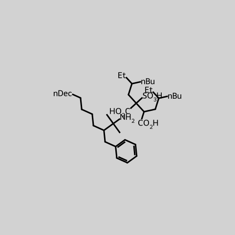 CCCCC(CC)CC(C(=O)O)C(CC(CC)CCCC)(C(=O)O)S(=O)(=O)O.CCCCCCCCCCCCCCC(Cc1ccccc1)C(C)(C)N